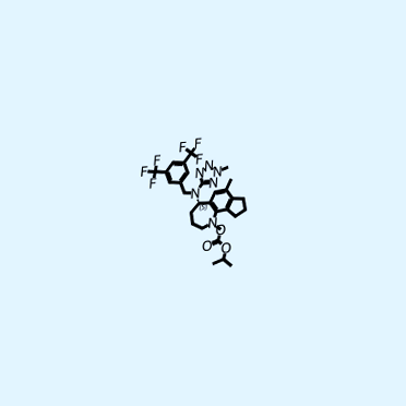 Cc1cc2c(c3c1CCC3)N(OC(=O)OC(C)C)CCC[C@@H]2N(Cc1cc(C(F)(F)F)cc(C(F)(F)F)c1)c1nnn(C)n1